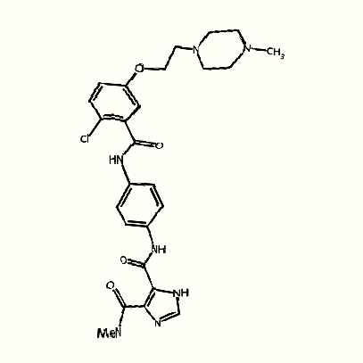 CNC(=O)c1nc[nH]c1C(=O)Nc1ccc(NC(=O)c2cc(OCCN3CCN(C)CC3)ccc2Cl)cc1